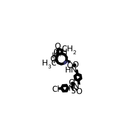 C=C1C(=O)O[C@H]2[C@H]1CC/C(COC(=O)NCc1ccc(Cn3c(=O)sn(-c4ccc(Cl)cc4)c3=O)cc1)=C\CC[C@@]1(C)O[C@@H]21